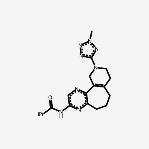 CC(C)C(=O)Nc1cnc2c(n1)CCCC1=C2CN(c2nnn(C)n2)CC1